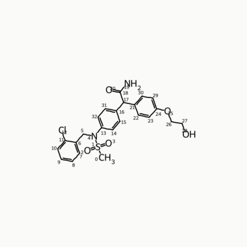 CS(=O)(=O)N(Cc1ccccc1Cl)c1ccc(C(C(N)=O)c2ccc(OCCO)cc2)cc1